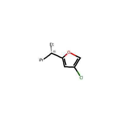 CC[C@H](c1cc(Cl)co1)C(C)C